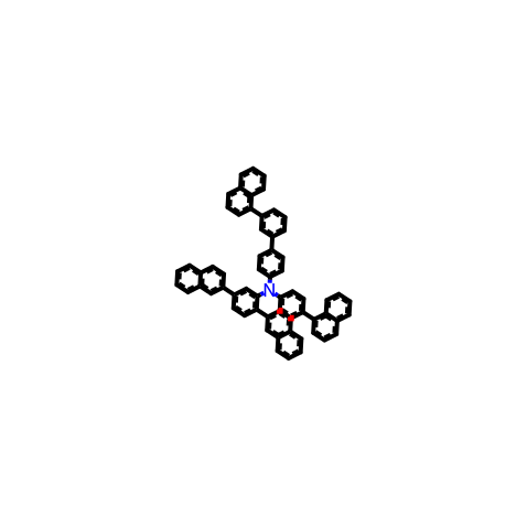 c1cc(-c2ccc(N(c3ccc(-c4cccc5ccccc45)cc3)c3cc(-c4ccc5ccccc5c4)ccc3-c3ccc4ccccc4c3)cc2)cc(-c2cccc3ccccc23)c1